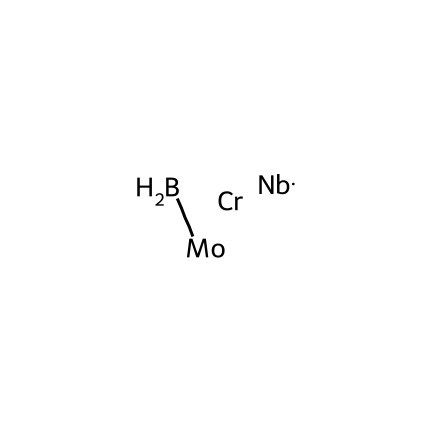 [BH2][Mo].[Cr].[Nb]